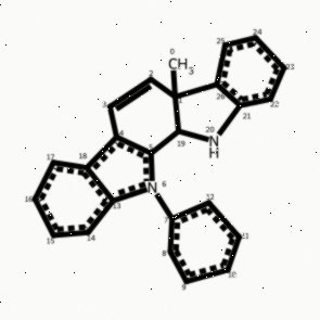 CC12C=Cc3c(n(-c4ccccc4)c4ccccc34)C1Nc1ccccc12